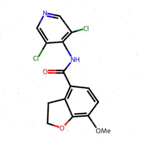 COc1ccc(C(=O)Nc2c(Cl)cncc2Cl)c2c1OCC2